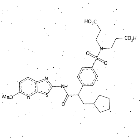 COc1ccc2nc(NC(=O)C(CC3CCCC3)c3ccc(S(=O)(=O)N(CCC(=O)O)CCC(=O)O)cc3)sc2n1